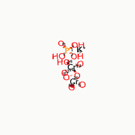 O=P(O)(O)O.[K+].[O]=[Cr](=[O])([O-])[O][Cr](=[O])(=[O])[OH]